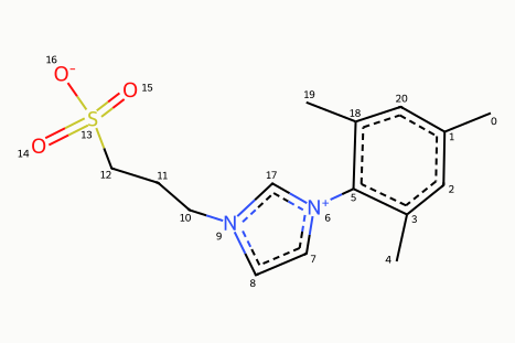 Cc1cc(C)c(-[n+]2ccn(CCCS(=O)(=O)[O-])c2)c(C)c1